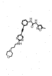 Cc1cc(NC(=O)Nc2cccc(C#Cc3cnc(NCCCN4CCOCC4)nc3)c2)no1